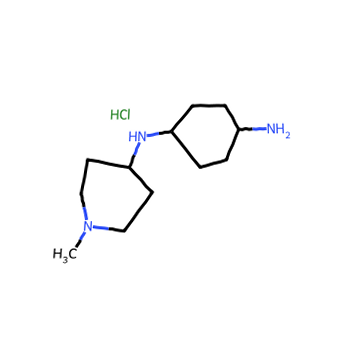 CN1CCC(NC2CCC(N)CC2)CC1.Cl